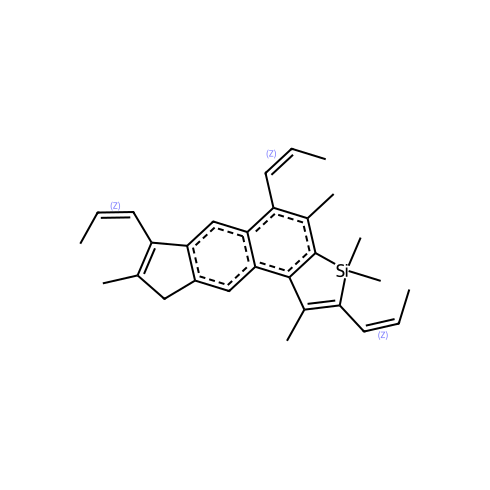 C/C=C\C1=C(C)Cc2cc3c4c(c(C)c(/C=C\C)c3cc21)[Si](C)(C)C(/C=C\C)=C4C